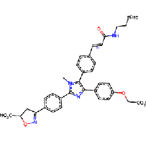 CCCCCCCCCCCCNC(=O)/C=C/c1ccc(-c2c(-c3ccc(OCC(=O)O)cc3)nc(-c3ccc(C4=NOC(C(=O)O)C4)cc3)n2C)cc1